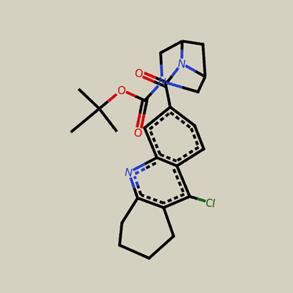 CC(C)(C)OC(=O)N1CC2CC(C1)N2C(=O)c1ccc2c(Cl)c3c(nc2c1)CCCC3